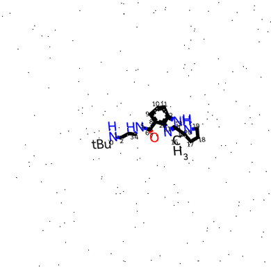 CC(C)(C)NCCCNC(=O)c1cccc2[nH]c([C@]3(C)CCCN3)nc12